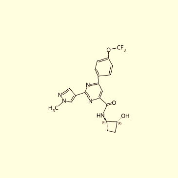 Cn1cc(-c2nc(C(=O)N[C@@H]3CC[C@H]3O)cc(-c3ccc(OC(F)(F)F)cc3)n2)cn1